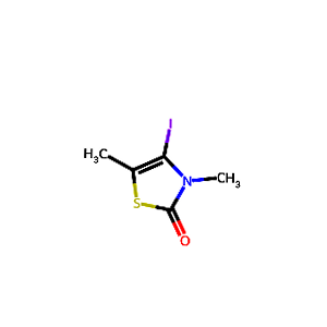 Cc1sc(=O)n(C)c1I